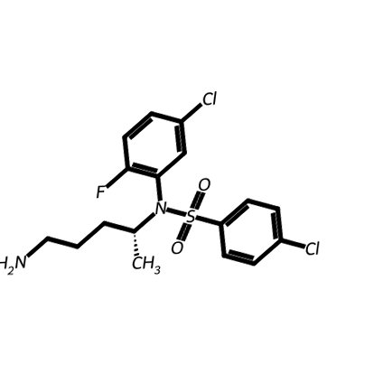 C[C@H](CCCN)N(c1cc(Cl)ccc1F)S(=O)(=O)c1ccc(Cl)cc1